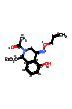 C=CCON=C1CN(C(=O)C(F)(F)F)C(C(=O)OCC)c2cccc(O)c21